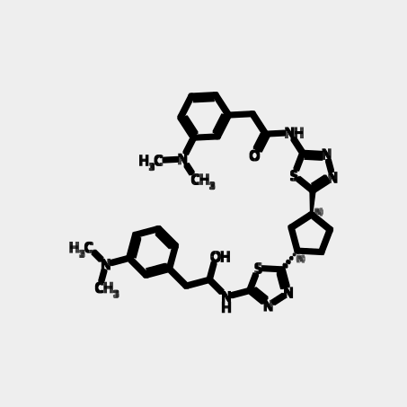 CN(C)c1cccc(CC(=O)Nc2nnc([C@H]3CC[C@H](c4nnc(NC(O)Cc5cccc(N(C)C)c5)s4)C3)s2)c1